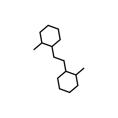 CC1CCCCC1CCC1CCCCC1C